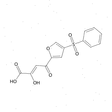 O=C(O)C(O)=CC(=O)c1cc(S(=O)(=O)c2ccccc2)co1